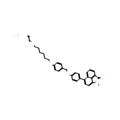 C=C(C)C(=O)OCCCCCCOc1ccc(C(=O)Oc2ccc(-c3ccc4c5c(cccc35)C(=O)N4C)cc2)cc1